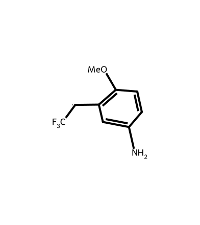 COc1ccc(N)cc1[CH]C(F)(F)F